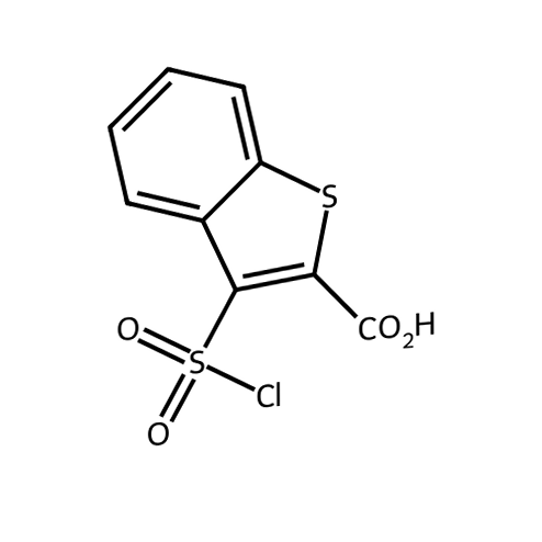 O=C(O)c1sc2ccccc2c1S(=O)(=O)Cl